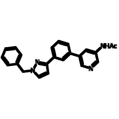 CC(=O)Nc1cncc(-c2cccc(-c3ccn(Cc4ccccc4)n3)c2)c1